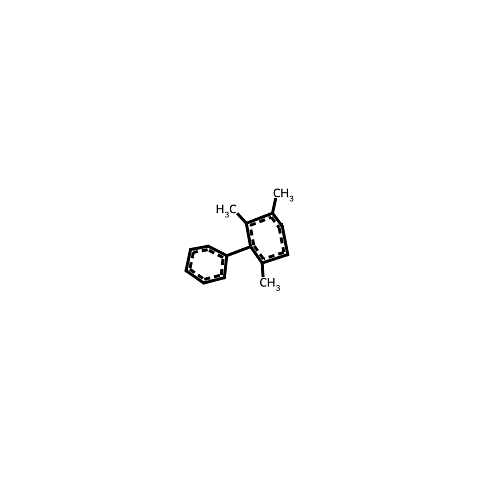 Cc1[c]cc(C)c(-c2ccccc2)c1C